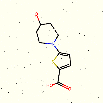 O=C(O)c1ccc(N2CCC(O)CC2)s1